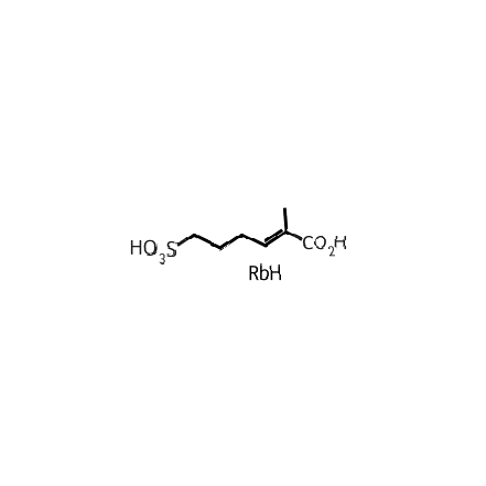 CC(=CCCCS(=O)(=O)O)C(=O)O.[RbH]